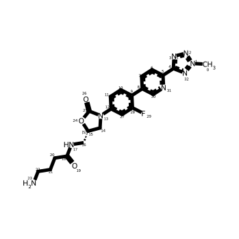 Cn1nnc(-c2ccc(-c3ccc(N4C[C@H](CNC(=O)CCCN)OC4=O)cc3F)cn2)n1